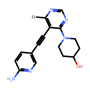 CCc1ncnc(N2CCC(O)CC2)c1C#Cc1ccc(N)nc1